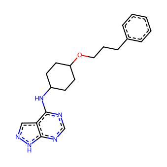 c1ccc(CCCOC2CCC(Nc3ncnc4[nH]ncc34)CC2)cc1